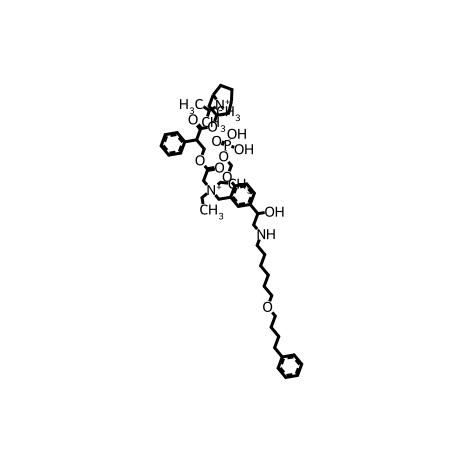 CC[N+](CC)(CC(=O)OCC(C(=O)OC1CC2CCC(C1)[N+]2(C)C(C)C)c1ccccc1)Cc1cc(C(O)CNCCCCCCOCCCCc2ccccc2)ccc1OCOP(=O)(O)O